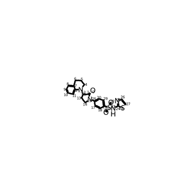 O=C1[C@H](N2CCCc3ccccc32)CCN1c1ccc(S(=O)(=O)Nc2nccs2)cc1